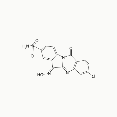 NS(=O)(=O)c1ccc2c(c1)/C(=N\O)c1nc3cc(Cl)ccc3c(=O)n1-2